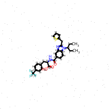 CCC(CC)n1c(Cc2cccs2)nc2cc(C(=O)NC(Cc3ccc(C(F)(F)F)cc3)C(=O)O)ccc21